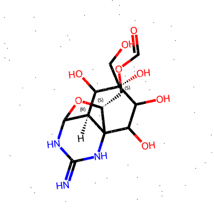 N=C1NC2O[C@H](COC=O)C3(N1)C(O)C(O)[C@](O)(CO)C(O)[C@H]23